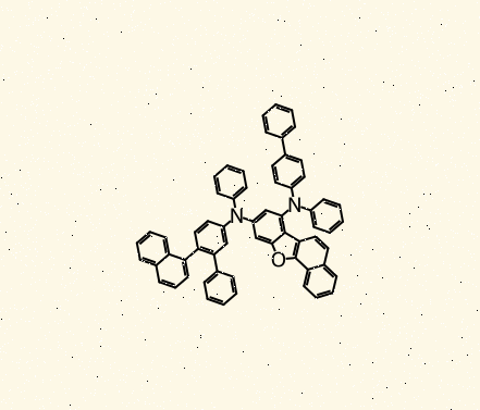 c1ccc(-c2ccc(N(c3ccccc3)c3cc(N(c4ccccc4)c4ccc(-c5cccc6ccccc56)c(-c5ccccc5)c4)cc4oc5c6ccccc6ccc5c34)cc2)cc1